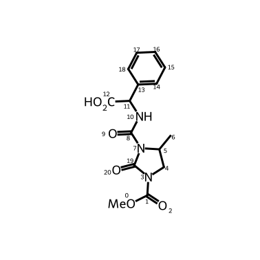 COC(=O)N1CC(C)N(C(=O)NC(C(=O)O)c2ccccc2)C1=O